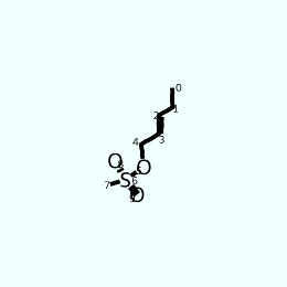 CCC=CCOS(C)(=O)=O